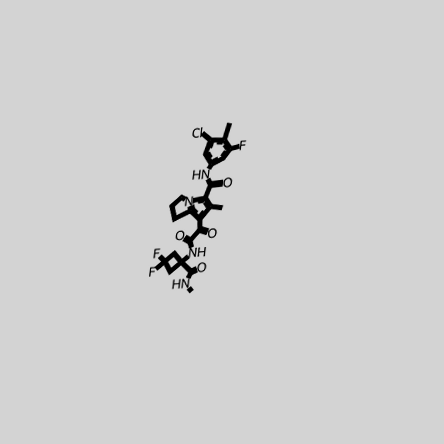 CNC(=O)C1(NC(=O)C(=O)c2c(C)c(C(=O)Nc3cc(F)c(C)c(Cl)c3)n3c2CCC3)CC(F)(F)C1